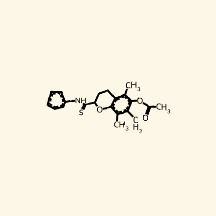 CC(=O)Oc1c(C)c(C)c2c(c1C)CCC(C(=S)Nc1ccccc1)O2